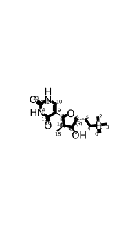 C=P(C)(C)CC[C@H]1O[C@@H](c2c[nH]c(=O)[nH]c2=O)[C@H](C)[C@@H]1O